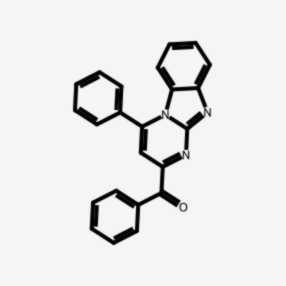 O=C(c1ccccc1)c1cc(-c2ccccc2)n2c(n1)nc1ccccc12